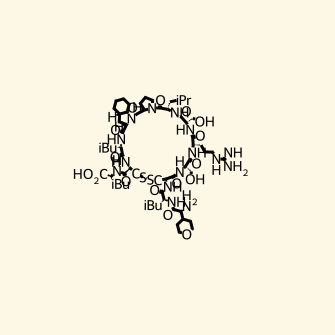 CC[C@H](C)[C@H](NC(=O)[C@@H]1CSSC[C@H](NC(=O)[C@@H](NC(=O)[C@@H](N)C2CCOCC2)[C@@H](C)CC)C(=O)N[C@@H](CO)C(=O)N[C@@H](CCCNC(=N)N)C(=O)N[C@@H](CO)C(=O)N[C@@H](CC(C)C)C(=O)N2CCC[C@H]2C(=O)N2C3CCCC[C@H]3C[C@H]2C(=O)N[C@H]([C@@H](C)CC)C(=O)N1)C(=O)O